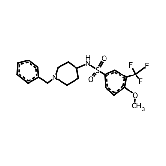 COc1ccc(S(=O)(=O)NC2CCN(Cc3ccccc3)CC2)cc1C(F)(F)F